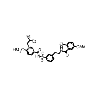 CCC(CC)CN1CC(C(=O)NS(=O)(=O)c2cccc(CCNC(=O)c3cc(OC)ccc3Cl)c2)=CC=C1C(=O)O